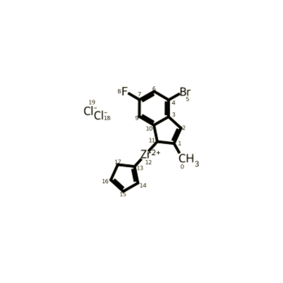 CC1=Cc2c(Br)cc(F)cc2[CH]1[Zr+2][C]1=CC=CC1.[Cl-].[Cl-]